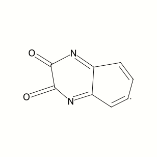 O=C1N=c2c[c]ccc2=NC1=O